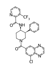 O=C(N[C@@H]1CCN(C(=O)c2cc(Cl)c3nccnc3c2)C[C@@H]1c1ccccc1)c1ncccc1C(F)(F)F